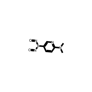 CN(C)c1ccc(B(N=O)N=O)cn1